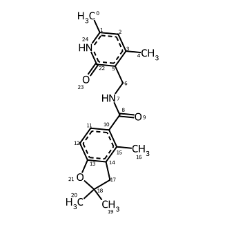 Cc1cc(C)c(CNC(=O)c2ccc3c(c2C)CC(C)(C)O3)c(=O)[nH]1